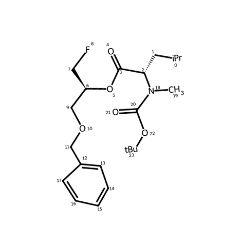 CC(C)C[C@@H](C(=O)O[C@H](CF)COCc1ccccc1)N(C)C(=O)OC(C)(C)C